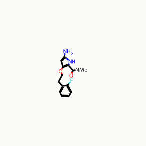 CNC(=O)c1[nH]c(N)cc1OCCc1ccccc1F